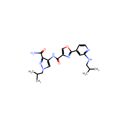 CC(C)CNc1cc(-c2nc(C(=O)Nc3cn(CC(C)C)nc3C(N)=O)co2)ccn1